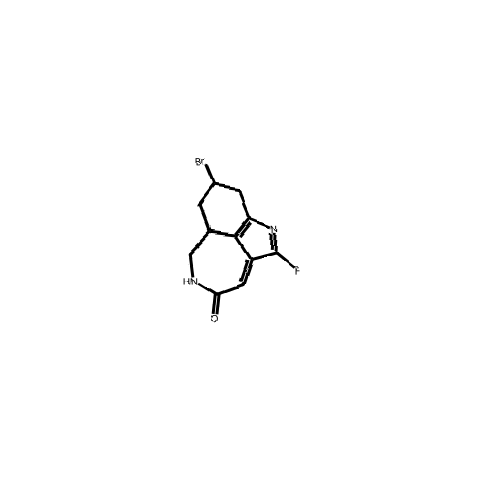 O=C1C=C2C(F)=NC3=C2C(CN1)CC(Br)C3